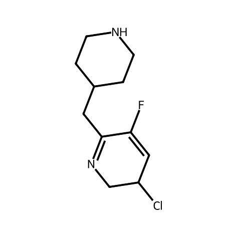 FC1=CC(Cl)CN=C1CC1CCNCC1